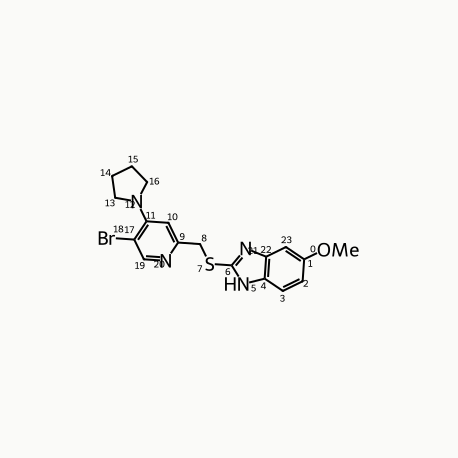 COc1ccc2[nH]c(SCc3cc(N4CCCC4)c(Br)cn3)nc2c1